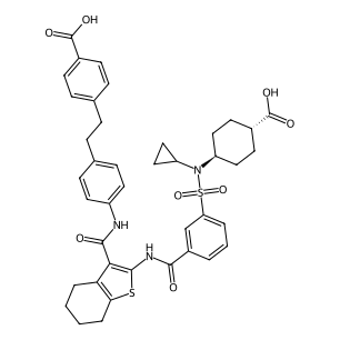 O=C(O)c1ccc(CCc2ccc(NC(=O)c3c(NC(=O)c4cccc(S(=O)(=O)N(C5CC5)[C@H]5CC[C@H](C(=O)O)CC5)c4)sc4c3CCCC4)cc2)cc1